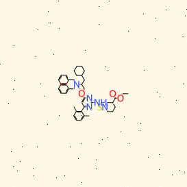 CCOC(=O)C1CCCN(SNc2nc(OCC(CC3CCCCC3)N(Cc3ccccc3)Cc3ccccc3)cc(-c3c(C)cccc3C)n2)C1